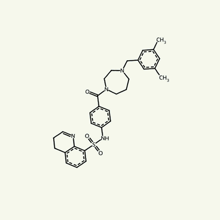 Cc1cc(C)cc(CN2CCCN(C(=O)c3ccc(NS(=O)(=O)c4cccc5c4N=CCC5)cc3)CC2)c1